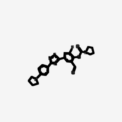 O=Cc1cc(-c2nc(-c3ccc(N4CCCC4)cc3)ns2)cc(F)c1OC(=O)N1CCCC1